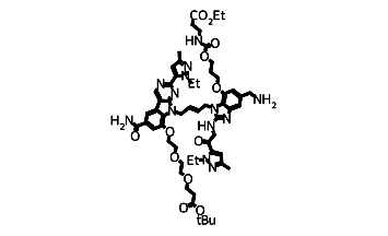 CCOC(=O)CCNC(=O)OCCCOc1cc(CN)cc2nc(NCC(=O)c3cc(C)nn3CC)n(C/C=C/Cn3c4nc(-c5cc(C)nn5CC)ncc4c4cc(C(N)=O)cc(OCCOCCOCCC(=O)OC(C)(C)C)c43)c12